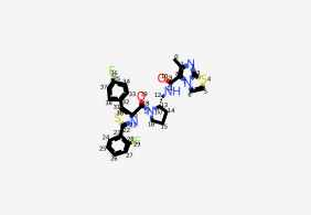 Cc1nc2sccn2c1C(=O)NC[C@@H]1CCCN1C(=O)c1nc(-c2ccccc2F)sc1-c1ccc(F)cc1